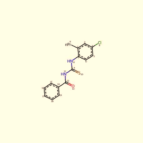 CCCc1cc(Cl)ccc1NC(=S)NC(=O)c1ccccc1